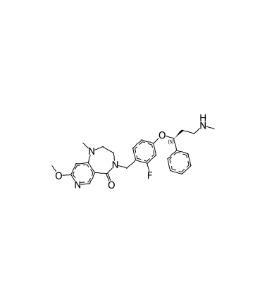 CNCC[C@H](Oc1ccc(CN2CCN(C)c3cc(OC)ncc3C2=O)c(F)c1)c1ccccc1